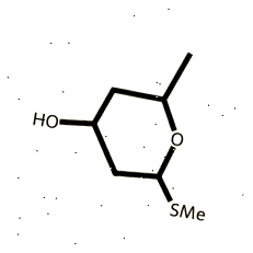 CSC1CC(O)CC(C)O1